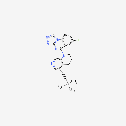 CC(C)(C#Cc1cncc2c1CCCN2c1nc2nncn2c2ccc(F)cc12)C(F)(F)F